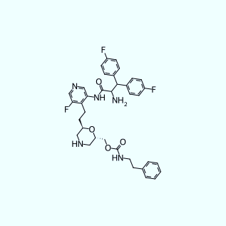 NC(C(=O)Nc1cncc(F)c1CC[C@@H]1CNC[C@@H](COC(=O)NCCc2ccccc2)O1)C(c1ccc(F)cc1)c1ccc(F)cc1